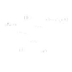 CCCCCCCCCOc1c(O)c(OC(=O)O)cc(CCC)c1CCC